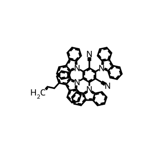 C=CCc1cccc2c1c1ccccc1n2-c1c(-n2c3ccccc3c3ccccc32)c(C#N)c(-n2c3ccccc3c3ccccc32)c(C#N)c1-n1c2ccccc2c2ccccc21